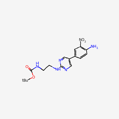 CC(C)(C)OC(=O)NCCNc1ncc(-c2ccc(N)c([N+](=O)[O-])c2)cn1